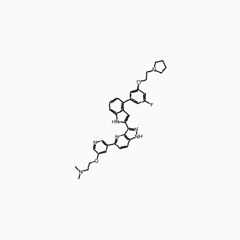 CN(C)CCOc1cncc(-c2ccc3[nH]nc(-c4cc5c(-c6cc(F)cc(OCCN7CCCC7)c6)cccc5[nH]4)c3n2)c1